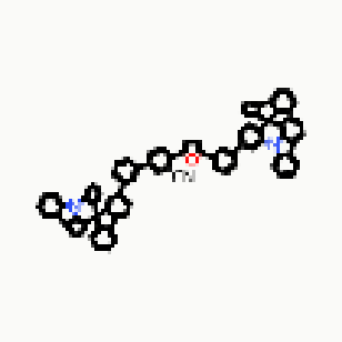 N#Cc1cc(-c2cccc(-c3ccc4c(c3)C3(c5ccccc5-4)c4ccccc4-n4c5ccccc5c5cccc3c54)c2)ccc1-c1ccc(-c2cccc(-c3ccc4c(c3)-n3c5ccccc5c5cccc(c53)C43c4ccccc4-c4ccccc43)c2)o1